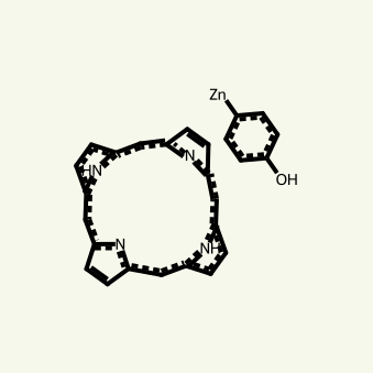 C1=Cc2cc3ccc(cc4nc(cc5ccc(cc1n2)[nH]5)C=C4)[nH]3.Oc1cc[c]([Zn])cc1